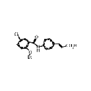 CCOc1ccc(Cl)cc1C(=O)Nc1ccc(/C=C/C(=O)O)cc1